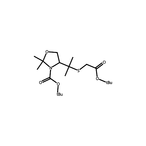 CC(C)(C)OC(=O)CSC(C)(C)C1COC(C)(C)N1C(=O)OC(C)(C)C